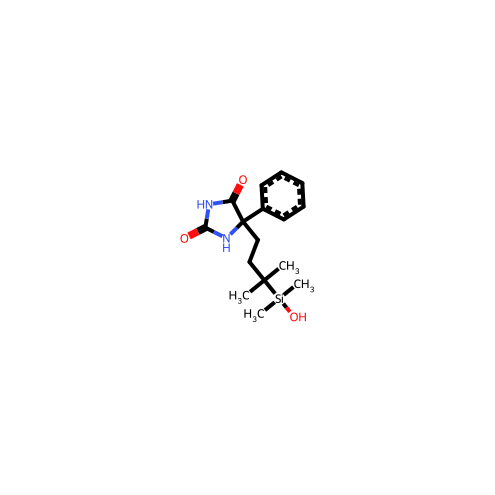 CC(C)(CCC1(c2ccccc2)NC(=O)NC1=O)[Si](C)(C)O